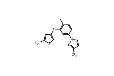 Cc1ccc(-n2ccc(C(F)(F)F)n2)nc1Oc1csc(C(F)(F)F)c1